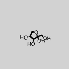 OCC1(O)OC[C@@H](O)[C@@H]1O